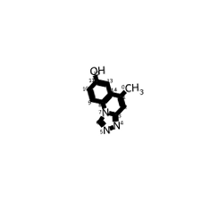 Cc1cc2nncn2c2ccc(O)cc12